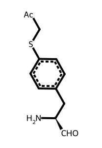 CC(=O)CSc1ccc(C[C@H](N)C=O)cc1